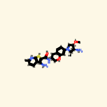 CO[C@H]1CN(c2ccc3c(c2)OC[C@H](NC(=O)c2sc4nc(C)ccc4c2N)C3)[C@@H](C)[C@@H]1N